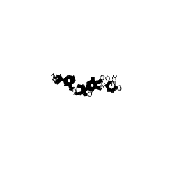 Cc1cc2c(c3c1C(=O)N([C@H]1CCC(=O)NC1=O)C3)OCC21CCN(Cc2cccc(-c3cnn(C)c3)c2)CC1